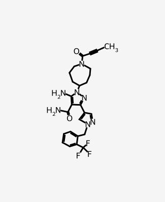 CC#CC(=O)N1CCCC(n2nc(-c3cnn(Cc4ccccc4C(F)(F)F)c3)c(C(N)=O)c2N)CCC1